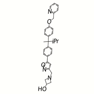 CC(C)C(C)(c1ccc(OCc2ccccn2)cc1)c1ccc(-c2cc(CN3CC(O)C3)no2)cc1